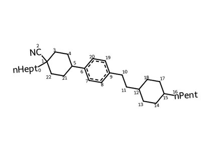 CCCCCCCC1(C#N)CCC(c2ccc(CCC3CCC(CCCCC)CC3)cc2)CC1